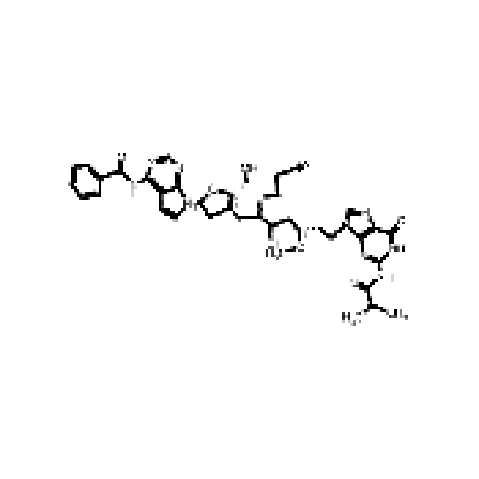 CO[C@@H](CCn1cnc2c(=O)[nH]c(NC(=O)C(C)C)nc21)CC(O)C(C[C@H]1C[C@H](n2ccc3c(NC(=O)c4ccccc4)ncnc32)O[C@@H]1CO)OCCC#N